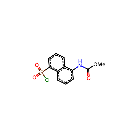 COC(=O)Nc1cccc2c(S(=O)(=O)Cl)cccc12